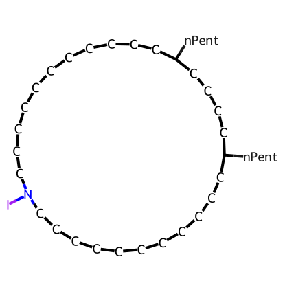 CCCCCC1CCCCCCCCCCCN(I)CCCCCCCCCCCC(CCCCC)CCCC1